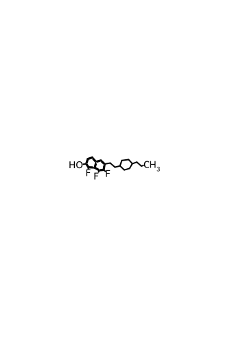 CCCC1CCC(CCc2cc3ccc(O)c(F)c3c(F)c2F)CC1